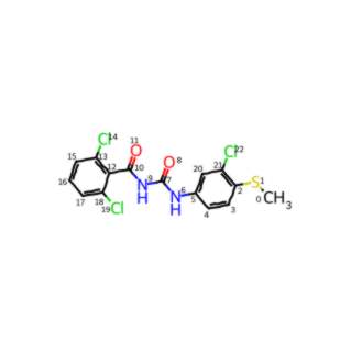 CSc1ccc(NC(=O)NC(=O)c2c(Cl)cccc2Cl)cc1Cl